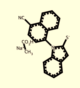 CC(=O)O.N#Cc1ccc(-n2c([S-])cc3ccccc32)c2ccccc12.[Na+]